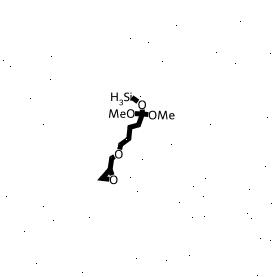 COC(CCCCOCC1CO1)(OC)O[SiH3]